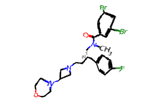 CN(C[C@@H](CCN1CC(N2CCOCC2)C1)c1ccc(F)cc1)C(=O)c1cc(Br)cc(Br)c1